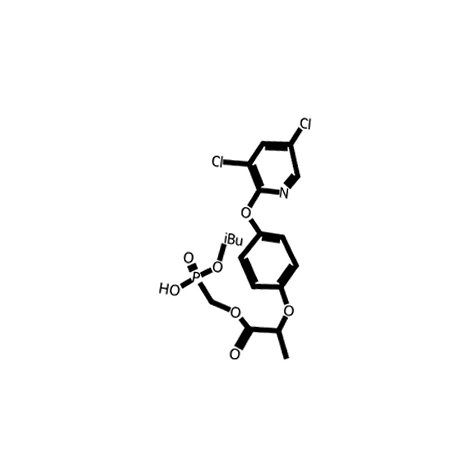 CCC(C)OP(=O)(O)COC(=O)C(C)Oc1ccc(Oc2ncc(Cl)cc2Cl)cc1